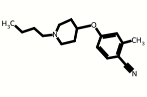 CCCCN1CCC(Oc2ccc(C#N)c(C)c2)CC1